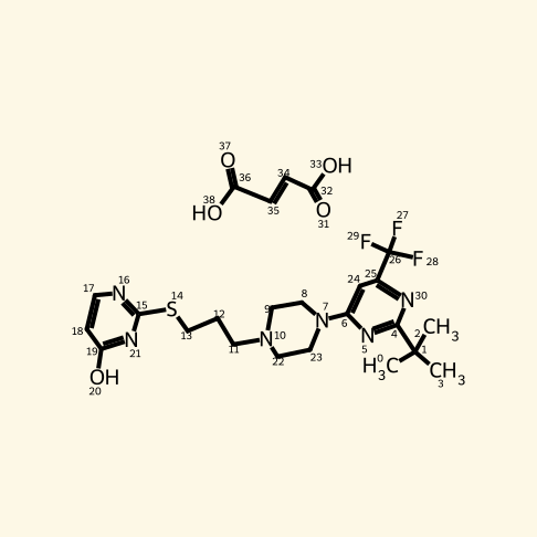 CC(C)(C)c1nc(N2CCN(CCCSc3nccc(O)n3)CC2)cc(C(F)(F)F)n1.O=C(O)C=CC(=O)O